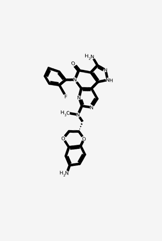 CN(C[C@H]1COc2cc(N)ccc2O1)c1ncc2c3[nH]nc(N)c3c(=O)n(-c3ccccc3F)c2n1